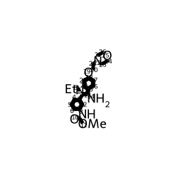 CCn1c(-c2cccc(NC(=O)OC)c2)c(N)c2ccc(OCCN3CCOCC3)cc21